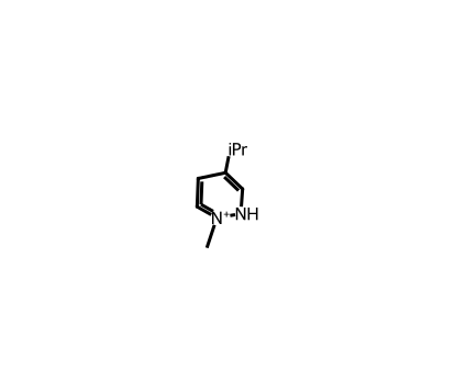 CC(C)C1=CN[N+](C)=C=C1